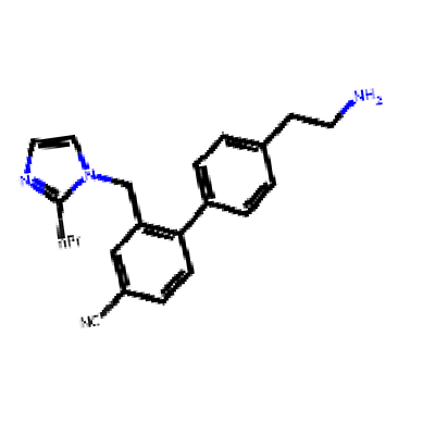 CCCc1nccn1Cc1cc(C#N)ccc1-c1ccc(CCN)cc1